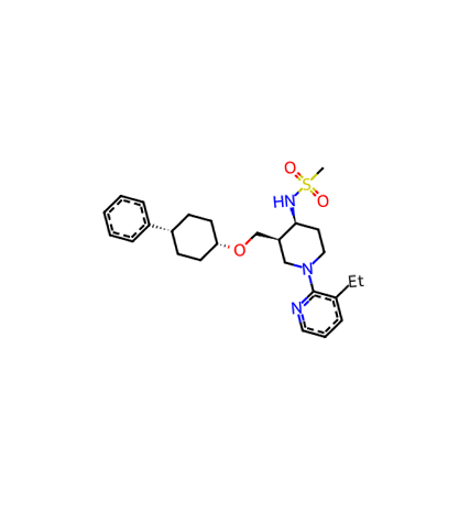 CCc1cccnc1N1CC[C@H](NS(C)(=O)=O)[C@H](CO[C@H]2CC[C@@H](c3ccccc3)CC2)C1